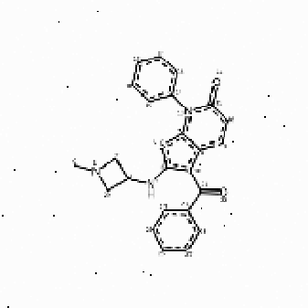 CN1CC(Nc2sc3c(ccc(=O)n3-c3ccccc3)c2C(=O)c2ccccc2)C1